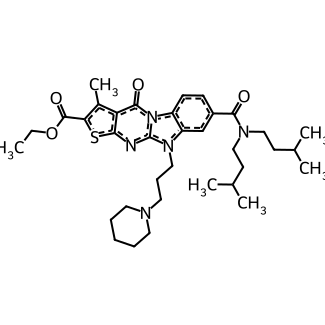 CCOC(=O)c1sc2nc3n(CCCN4CCCCC4)c4cc(C(=O)N(CCC(C)C)CCC(C)C)ccc4n3c(=O)c2c1C